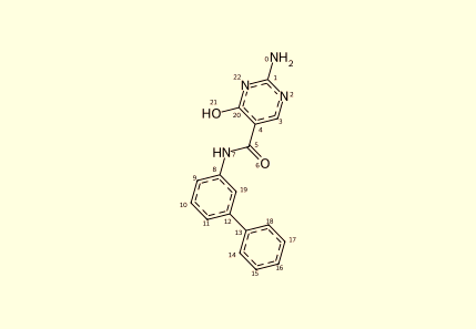 Nc1ncc(C(=O)Nc2cccc(-c3ccccc3)c2)c(O)n1